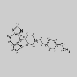 COc1ccc(CCN2CCC(C3c4sccc4C=Cn4ncnc43)CC2)cc1